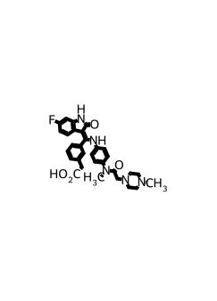 CN1CCN(CC(=O)N(C)c2ccc(N/C(=C3\C(=O)Nc4cc(F)ccc43)c3cccc(CC(=O)O)c3)cc2)CC1